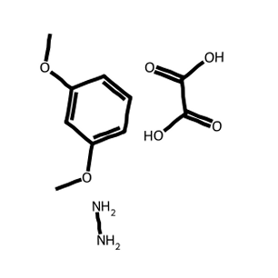 COc1cccc(OC)c1.NN.O=C(O)C(=O)O